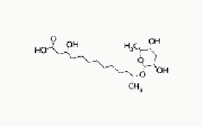 C[C@H](CCCCCCCC[C@@H](O)CC(=O)O)O[C@@H]1O[C@@H](C)[C@H](O)C[C@H]1O